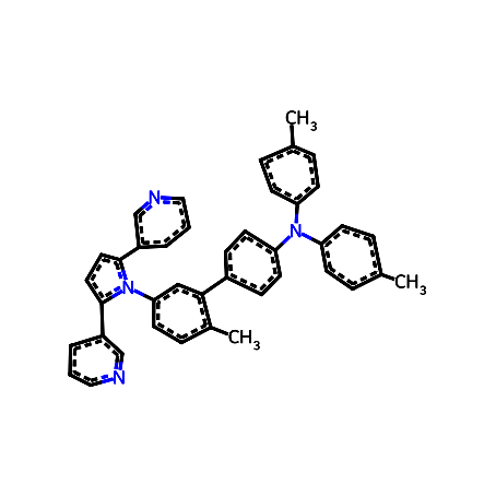 Cc1ccc(N(c2ccc(C)cc2)c2ccc(-c3cc(-n4c(-c5cccnc5)ccc4-c4cccnc4)ccc3C)cc2)cc1